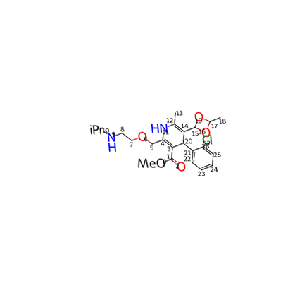 COC(=O)C1=C(COCCNC(C)C)NC(C)=C(C2OC(C)O2)C1c1ccccc1Cl